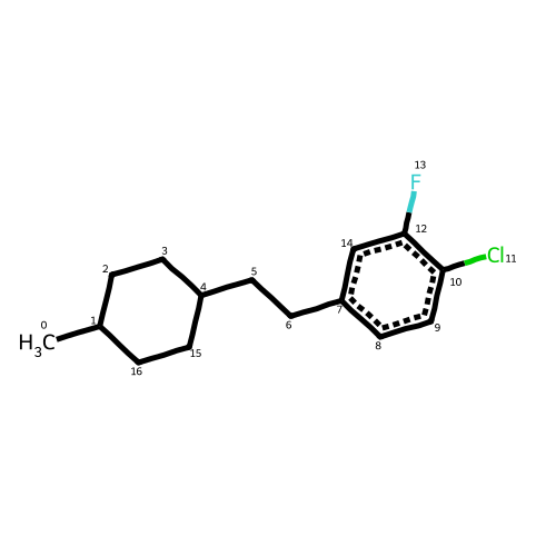 CC1CCC(CCc2ccc(Cl)c(F)c2)CC1